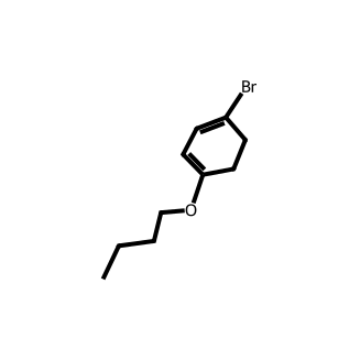 CCCCOC1=CC=C(Br)CC1